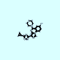 Fc1ccc2c(c1)c(N1CCSCC1)nc1c(-c3noc(C4CC4)n3)ncn12